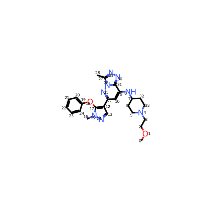 COCCN1CCC(Nc2cc(-c3cnn(C)c3Oc3ccccc3)nn3c(C)nnc23)CC1